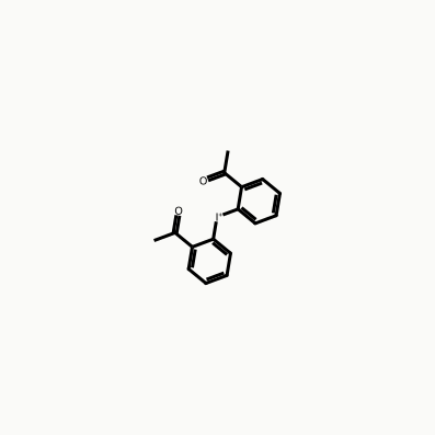 CC(=O)c1ccccc1[I+]c1ccccc1C(C)=O